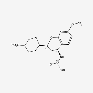 CCOC(=O)C1CCC([C@@H]2C[C@H](N[S@@+]([O-])C(C)(C)C)c3ccc(OC(F)(F)F)cc3O2)CC1